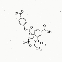 CCCC(O[N+](=O)[O-])C1(OC(=O)Oc2ccc([N+](=O)[O-])cc2)C=CC(C(=O)O)C=C1OC